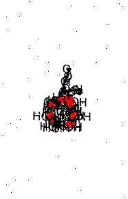 CN[C@H](CSCC1O[C@@H]2O[C@@H]3C(CO)O[C@H](O[C@@H]4C(CO)O[C@H](O[C@@H]5C(CO)O[C@H](O[C@@H]6C(CSC[C@@H](CC(=O)CCOCCOCCC(C)=O)C(=O)NCCSSc7ccccn7)O[C@H](O[C@@H]7C(CO)O[C@H](O[C@@H]8C(CO)O[C@H](O[C@H]1[C@H](O)C2O)C(O)[C@H]8O)C(O)[C@H]7O)C(O)[C@H]6O)C(O)[C@H]5O)C(O)[C@H]4O)C(O)[C@H]3O)C(=O)NCCSSc1ccccn1